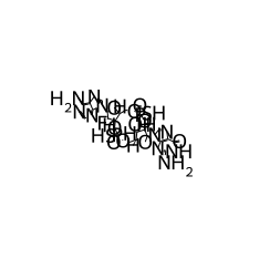 Nc1nc2c(ncn2[C@@H]2O[C@@H]3CO[P@](=O)(S)O[C@H]4[C@H](F)[C@H](n5cnc6c(N)ncnc65)O[C@@H]4CO[P@](=O)(S)O[C@@H]2[C@@H]3O)c(=O)[nH]1